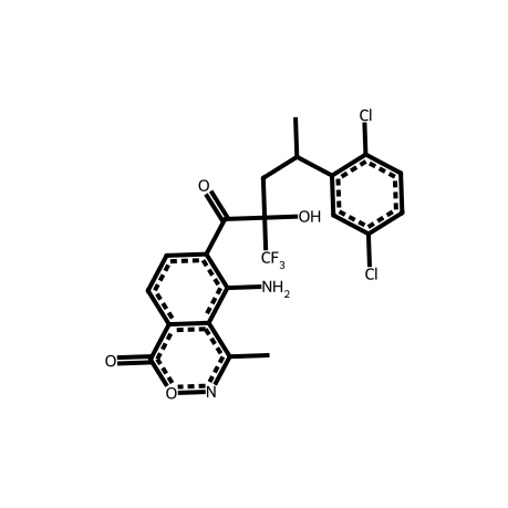 Cc1noc(=O)c2ccc(C(=O)C(O)(CC(C)c3cc(Cl)ccc3Cl)C(F)(F)F)c(N)c12